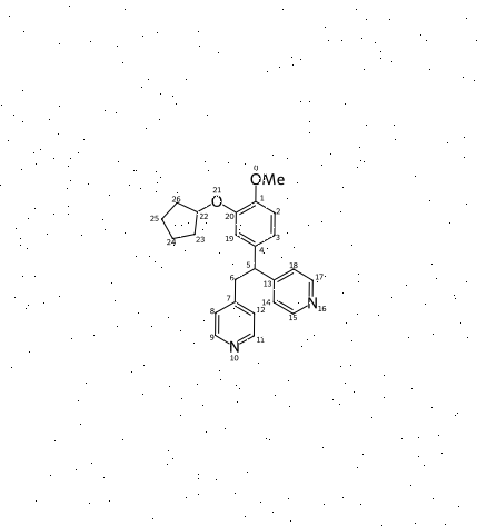 COc1ccc(C(Cc2ccncc2)c2ccncc2)cc1OC1CCCC1